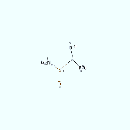 CCCCC(CCC)S(=S)NC